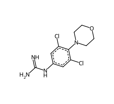 N=C(N)Nc1cc(Cl)c(N2CCOCC2)c(Cl)c1